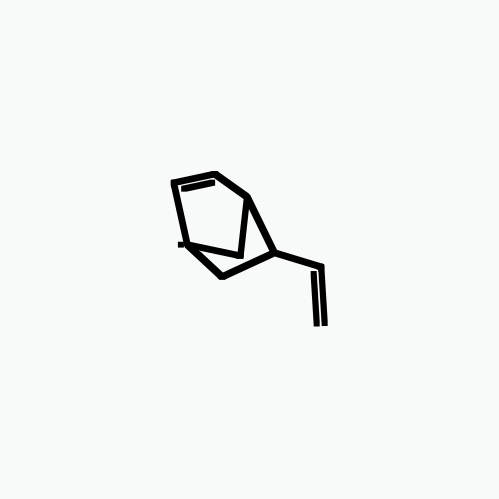 C=CC1C[C]2C=CC1C2